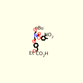 CCCCOCCN(CCOc1ccc(CC(OCC)C(=O)O)cc1)C(=O)Oc1ccc(C)c([N+](=O)[O-])c1